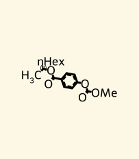 CCCCCC[C@@H](C)OC(=O)c1ccc(OC(=O)OC)cc1